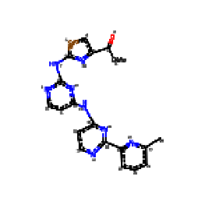 COC(=O)c1csc(Nc2nccc(Nc3ccnc(-c4cccc(C)n4)n3)n2)n1